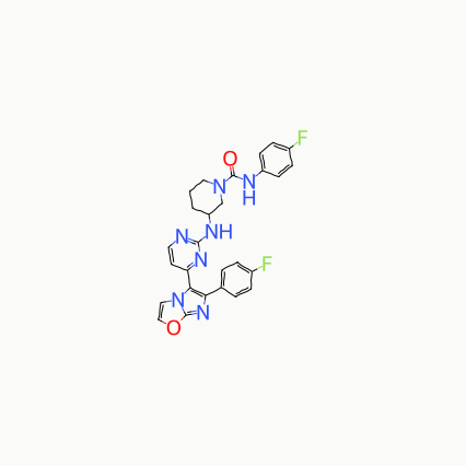 O=C(Nc1ccc(F)cc1)N1CCCC(Nc2nccc(-c3c(-c4ccc(F)cc4)nc4occn34)n2)C1